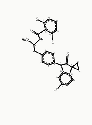 O=C(N[C@@H](Cc1ccc(N2C(=O)C3(CC3)c3ccc(F)cc32)cc1)C(=O)O)c1c(F)cccc1Cl